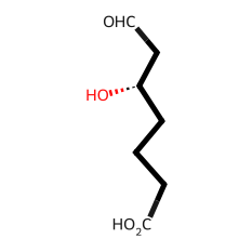 O=CC[C@@H](O)CCCC(=O)O